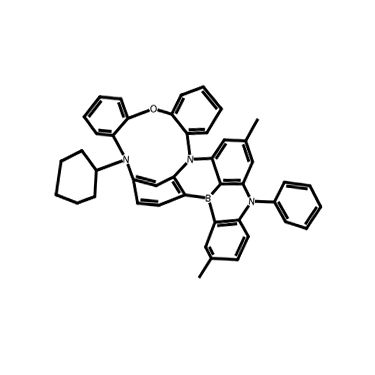 Cc1ccc2c(c1)B1c3ccc4cc3N(c3ccccc3Oc3ccccc3N4C3CCCCC3)c3cc(C)cc(c31)N2c1ccccc1